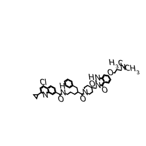 CN(C)CCCOc1ccc2c(=O)n(CC3(O)CCN(C(=O)C(CCCNC(=O)c4ccc5c(Cl)cc(C6CC6)nc5c4)Cc4ccccc4)CC3)cnc2c1